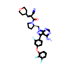 N#C/C(=C\C1CCOCC1)C(=O)N1CCC[C@@H]1Cn1nc(-c2ccc(Oc3cccc(F)c3F)cc2F)c2c(N)ncnc21